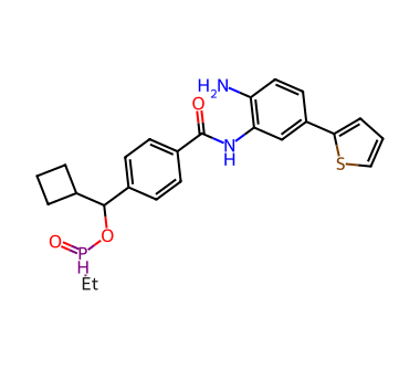 CC[PH](=O)OC(c1ccc(C(=O)Nc2cc(-c3cccs3)ccc2N)cc1)C1CCC1